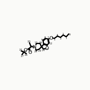 CCCCCCOc1ccc2c(c1)OCC21CCN(C(C)C(=O)OC(C)(C)C)CC1